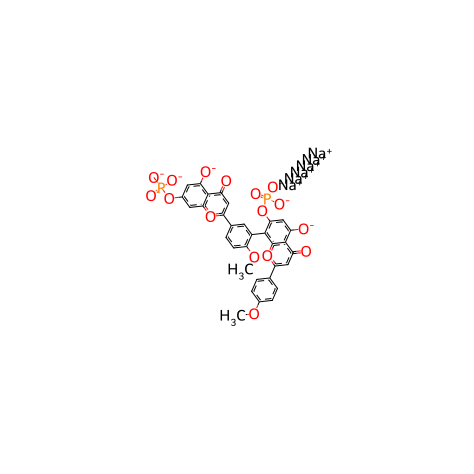 COc1ccc(-c2cc(=O)c3c([O-])cc(OP(=O)([O-])[O-])c(-c4cc(-c5cc(=O)c6c([O-])cc(OP(=O)([O-])[O-])cc6o5)ccc4OC)c3o2)cc1.[Na+].[Na+].[Na+].[Na+].[Na+].[Na+]